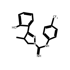 CC1CN(C(=N)Nc2ccc(C(F)(F)F)cc2)N=C1c1ccccc1O